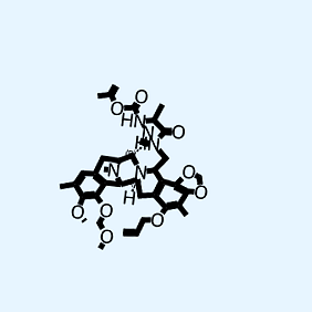 C=CCOc1c(C)c2c(c3c1C[C@H]1C4c5c(cc(C)c(OC)c5OCOC)CC([C@H](C#N)N1C3CNC(=O)C(C)NC(=O)OC(=C)C)N4C)OCO2